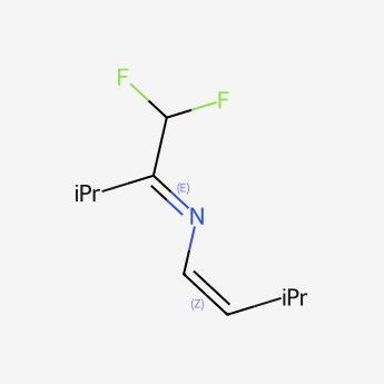 CC(C)/C=C\N=C(/C(C)C)C(F)F